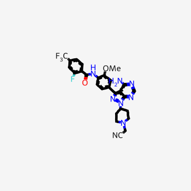 COc1cc(-c2nn(C3CCN(CC#N)CC3)c3ncnc(N)c23)ccc1NC(=O)c1ccc(C(F)(F)F)cc1F